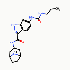 CCCNC(=O)Nc1ccc2c(C(=O)NC3CC4CCC(C3)N4C)n[nH]c2c1